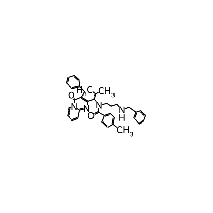 Cc1ccc(C(=O)N(CCCNCc2ccccc2)C(c2nc3ccccn3c(=O)c2Cc2ccccc2)C(C)C)cc1